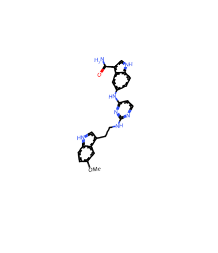 COc1ccc2[nH]cc(CCNc3nccc(Nc4ccc5[nH]cc(C(N)=O)c5c4)n3)c2c1